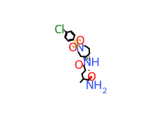 CC(C[CH]C(=O)N[C@H]1CCCN(S(=O)(=O)c2ccc(Cl)cc2)CC1)C(N)=O